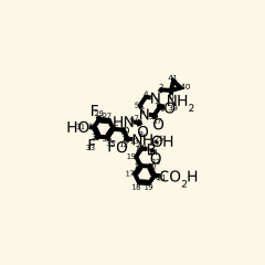 NC1(CN2CCN(C(=O)N[C@H](C(=O)N[C@H]3Cc4cccc(C(=O)O)c4OB3O)c3cc(F)c(O)c(F)c3F)C(=O)C2=O)CC1